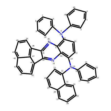 c1ccc(N(c2ccccc2)c2ccc(N(c3ccccc3)c3cccc4ccccc34)c3nc4c(nc23)-c2cccc3cccc-4c23)cc1